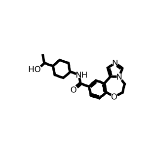 CC(O)C1CCC(NC(=O)c2ccc3c(c2)-c2cncn2CCO3)CC1